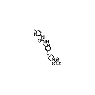 CCS(=O)(=O)N1CCN(Cc2ccnc(CNC(=O)Nc3ccc(C)nc3)c2)CC1